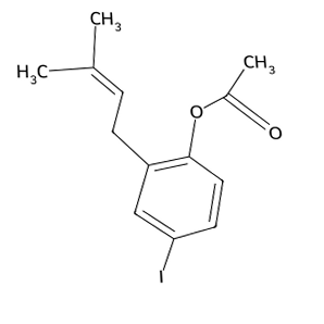 CC(=O)Oc1ccc(I)cc1CC=C(C)C